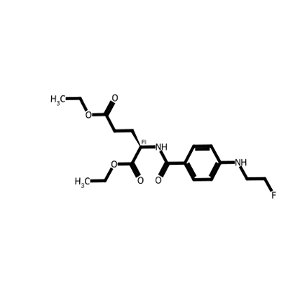 CCOC(=O)CC[C@@H](NC(=O)c1ccc(NCCF)cc1)C(=O)OCC